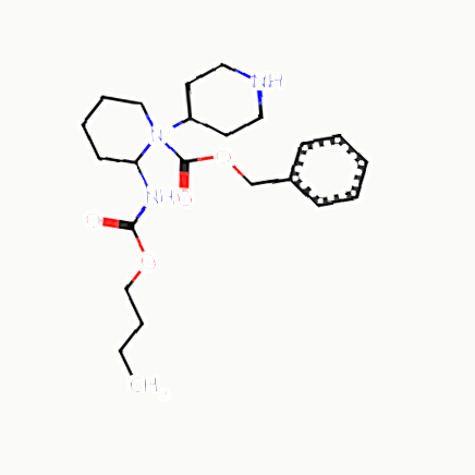 CCCCOC(=O)NC1CCCC[N+]1(C(=O)OCc1ccccc1)C1CCNCC1